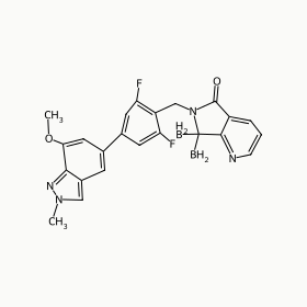 BC1(B)c2ncccc2C(=O)N1Cc1c(F)cc(-c2cc(OC)c3nn(C)cc3c2)cc1F